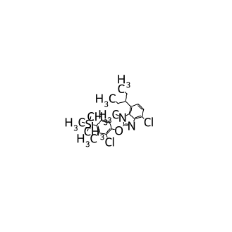 CCC(CC)c1ccc(Cl)c2nc(Oc3ccc([Si](C)(C)C)c(C)c3Cl)n(C)c12